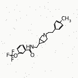 Cc1ccc(CCN2CC3C(CNC(=O)c4cccc(OC(F)(F)F)c4)C3C2)cc1